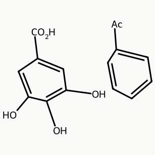 CC(=O)c1ccccc1.O=C(O)c1cc(O)c(O)c(O)c1